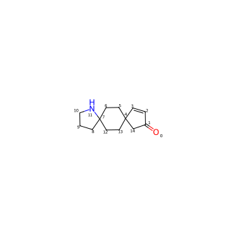 O=C1C=CC2(CCC3(CCCN3)CC2)C1